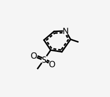 Cc1cc(S(C)(=O)=O)ccn1